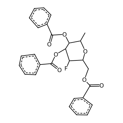 CC1OC(COC(=O)c2ccccc2)C(F)C(OC(=O)c2ccccc2)C1OC(=O)c1ccccc1